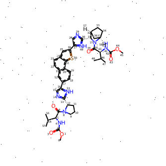 COC(=O)N[C@H](C(=O)N1CCC[C@H]1c1ncc(-c2ccc3c(ccc4cc(-c5cnc([C@@H]6[C@H]7CC[C@H](C7)N6C(=O)[C@@H](NC(=O)OC)C(C)C)[nH]5)sc43)c2)[nH]1)C(C)C